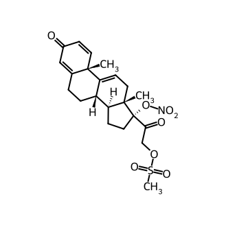 C[C@]12C=CC(=O)C=C1CC[C@@H]1C2=CC[C@@]2(C)[C@H]1CC[C@]2(O[N+](=O)[O-])C(=O)COS(C)(=O)=O